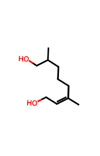 CC(=CCO)CCCC(C)CO